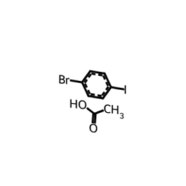 Brc1ccc(I)cc1.CC(=O)O